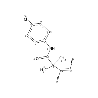 CC(C)(C(=O)Nc1ccc(Cl)cc1)/C(F)=C\F